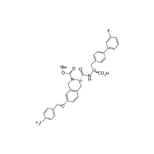 CC(C)(C)OC(=O)N1Cc2cc(OCc3ccc(C(F)(F)F)cc3)ccc2C[C@H]1C(=O)N[C@@H](Cc1ccc(-c2cccc(F)c2)cc1)C(=O)O